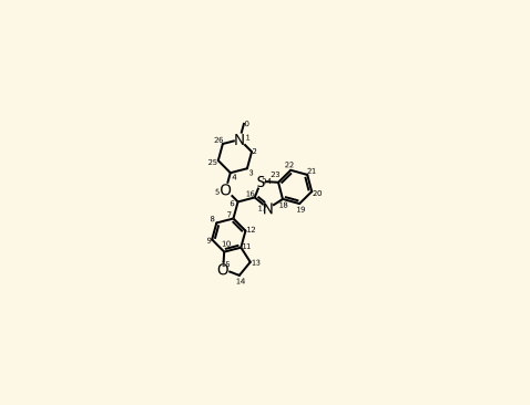 CN1CCC(OC(c2ccc3c(c2)CCO3)c2nc3ccccc3s2)CC1